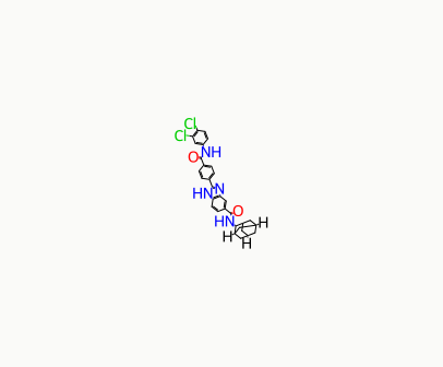 O=C(Nc1ccc(Cl)c(Cl)c1)c1ccc(-c2nc3cc(C(=O)NC4C5C[C@H]6C[C@@H](C5)C[C@@H]4C6)ccc3[nH]2)cc1